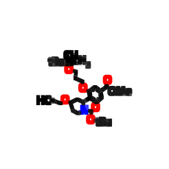 C#CCO[C@H]1CCN(C(=O)OC(C)(C)C)[C@H](c2ccc(C(=O)OC)cc2OCCCO[Si](C)(C)C(C)(C)C)C1